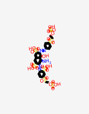 Nc1c(N=Nc2ccc(S(=O)(=O)CCOS(=O)(=O)O)cc2S(=O)(=O)O)c(S(=O)(=O)O)cc2cc(S(=O)(=O)O)c(N=Nc3ccc(S(=O)(=O)CCOS(=O)(=O)O)cc3)c(O)c12